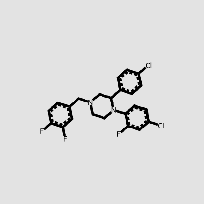 Fc1ccc(CN2CCN(c3ccc(Cl)cc3F)C(c3ccc(Cl)cc3)C2)cc1F